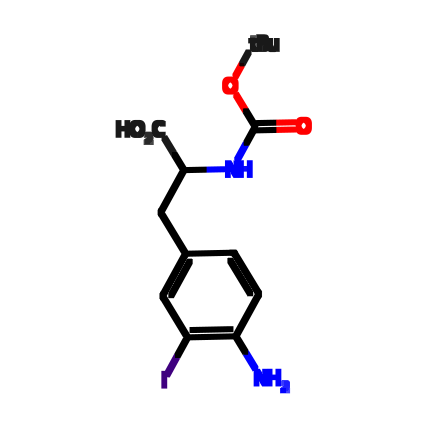 CC(C)(C)OC(=O)NC(Cc1ccc(N)c(I)c1)C(=O)O